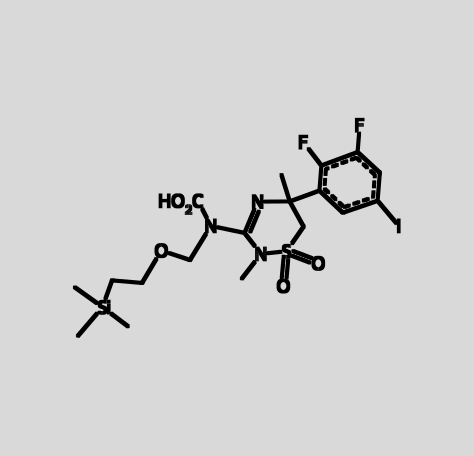 CN1C(N(COCC[Si](C)(C)C)C(=O)O)=NC(C)(c2cc(I)cc(F)c2F)CS1(=O)=O